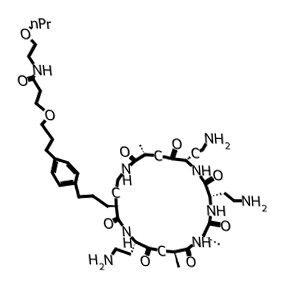 CCCOCCNC(=O)CCOCCCc1ccc(CCC[C@H]2CCNC(=O)[C@H](C)CC(=O)[C@H](CCN)NC(=O)[C@H](CCN)NC(=O)[C@H](C)NC(=O)[C@@H](C)CC(=O)[C@H](CCN)NC2=O)cc1